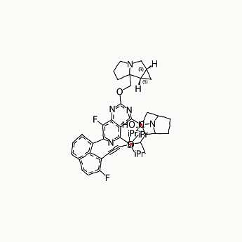 CC1Oc2nc(-c3cccc4ccc(F)c(C#C[Si](C(C)C)(C(C)C)C(C)C)c34)c(F)c3nc(OCC45CCCN4C[C@@H]4C[C@@H]45)nc(c23)N2CC3CCC(C12)N3C(=O)O